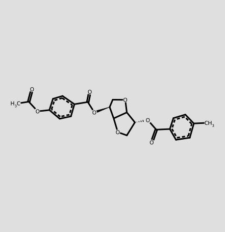 CC(=O)Oc1ccc(C(=O)O[C@H]2COC3C2OC[C@H]3OC(=O)c2ccc(C)cc2)cc1